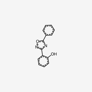 Oc1ccccc1-c1noc(-c2ccccc2)n1